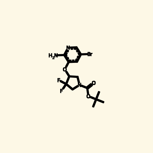 CC(C)(C)OC(=O)N1CC(Oc2cc(Br)cnc2N)C(F)(F)C1